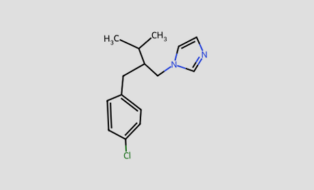 CC(C)C(Cc1ccc(Cl)cc1)Cn1ccnc1